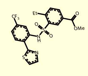 CCc1ccc(C(=O)OC)cc1S(=O)(=O)Nc1cc(C(F)(F)F)ccc1-c1nccs1